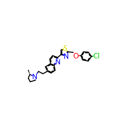 C[C@@H]1CCCN1CCc1ccc2nc(-c3csc(COc4ccc(Cl)cc4)n3)ccc2c1